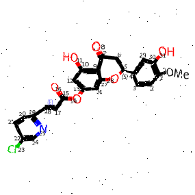 COc1ccc([C@@H]2CC(=O)c3c(O)cc(OC(=O)/C=C/c4ccc(Cl)cn4)cc3O2)cc1O